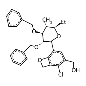 CC[C@H]1OC(c2cc(CO)c(Cl)c3c2OC3)[C@H](OCc2ccccc2)[C@@H](OCc2ccccc2)[C@@H]1C